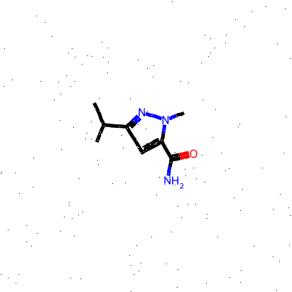 CC(C)c1cc(C(N)=O)n(C)n1